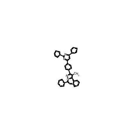 Cc1c(-c2ccc(-c3cc(-c4ccccc4)nc(-c4ccccc4)n3)cc2)nn2c(-c3ccccc3)cc3ccccc3c12